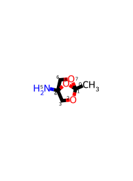 CC12OCC(N)(CO1)O2